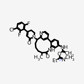 C=C(Nc1ccc2c(c1)NC(=O)C(C)CCCC(N1CCC(c3c(F)ccc(Cl)c3F)=CC1=O)c1cc-2ccn1)O/C(CC)=N\C